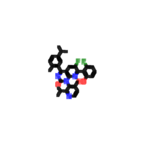 Cc1ccc(C(C)C)cc1-c1nc(=O)n(-c2c(C)ccnc2C(C)C)c2nc(-c3c(O)cccc3F)c(F)cc12